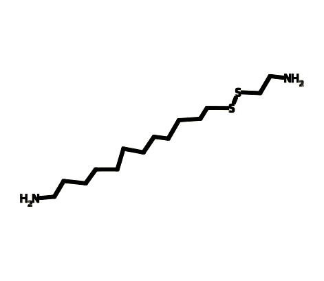 NCCCCCCCCCCCCSSCCN